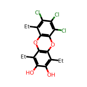 CCc1c(Cl)c(Cl)c(Cl)c2c1Oc1c(CC)c(O)c(O)c(CC)c1O2